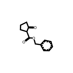 O=C1CCCC1C(=O)OCc1ccccc1